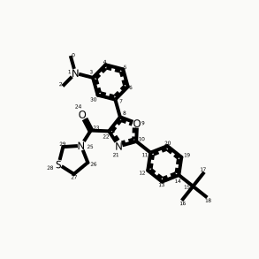 CN(C)c1cccc(-c2oc(-c3ccc(C(C)(C)C)cc3)nc2C(=O)N2CCSC2)c1